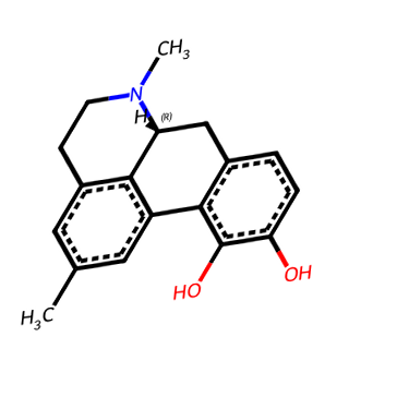 Cc1cc2c3c(c1)-c1c(ccc(O)c1O)C[C@H]3N(C)CC2